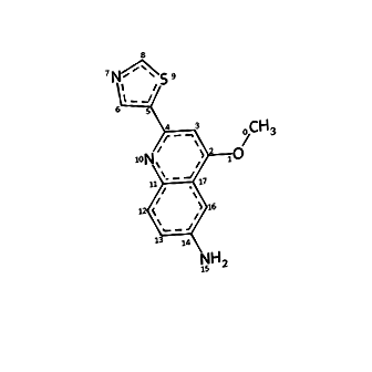 COc1cc(-c2cncs2)nc2ccc(N)cc12